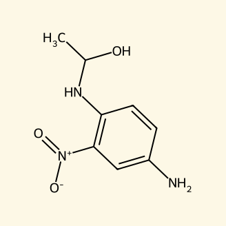 CC(O)Nc1ccc(N)cc1[N+](=O)[O-]